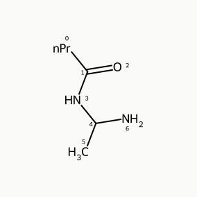 CCCC(=O)NC(C)N